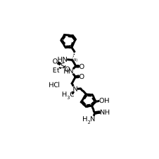 CCS(=O)(=O)N[C@H](Cc1ccccc1)C(=O)NC(=O)CN(C)Cc1ccc(C(=N)N)c(O)c1.Cl